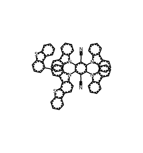 N#Cc1c(-n2c3ccccc3c3ccccc32)c(-n2c3ccccc3c3ccccc32)c(C#N)c(-n2c3ccc(-c4cccc5sc6ccccc6c45)cc3c3c4sc5ccccc5c4ccc32)c1-n1c2ccccc2c2ccccc21